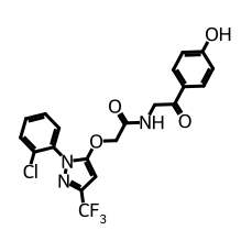 O=C(COc1cc(C(F)(F)F)nn1-c1ccccc1Cl)NCC(=O)c1ccc(O)cc1